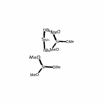 CCC[CH2][Sn+2][CH2]CCC.CO[Si-](OC)OC.CO[Si-](OC)OC